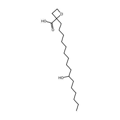 CCCCCCC(O)CCCCCCCCCC1(C(=O)O)CCO1